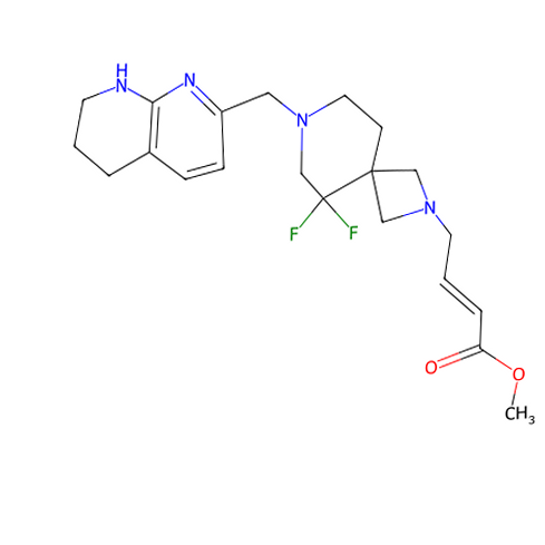 COC(=O)/C=C/CN1CC2(CCN(Cc3ccc4c(n3)NCCC4)CC2(F)F)C1